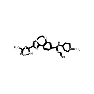 CC(=N)/N=C(\NC(C)C)c1cn2c(n1)-c1ccc(/C(=N/C=N)NC3CCN(C)CC3)cc1OCC2